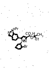 CCCn1ncc2ccc(-c3cc(COC(C)(CC)C(=O)O)nn3-c3ccccc3Br)cc21